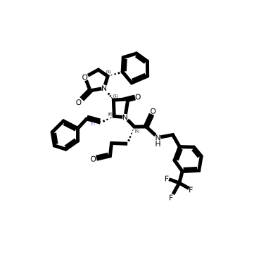 O=CCC[C@@H](C(=O)NCc1cccc(C(F)(F)F)c1)N1C(=O)[C@@H](N2C(=O)OC[C@@H]2c2ccccc2)[C@H]1/C=C/c1ccccc1